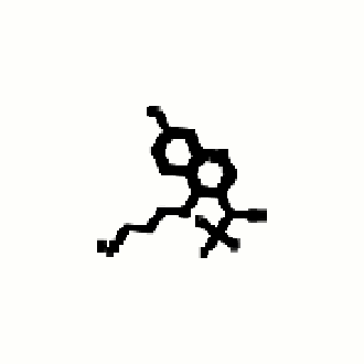 CCCCOc1c(C(O)C(F)(F)F)cnc2cc(Cl)ccc12